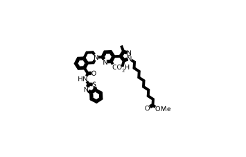 COC(=O)CCCCCCCCCn1nc(C)c(-c2ccc(N3CCc4cccc(C(=O)Nc5nc6ccccc6s5)c4C3)nc2C(=O)O)c1C